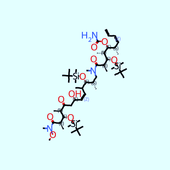 C=C/C=C\[C@H](C)[C@H](OC(N)=O)[C@@H](C)[C@H](O[Si](C)(C)C(C)(C)C)[C@@H](C)C(=O)N(C)C[C@H](C)[C@@H](O[Si](C)(C)C(C)(C)C)C(C)/C=C\[C@@H](O)CC(=O)[C@H](C)[C@H](O[Si](C)(C)C(C)(C)C)[C@@H](C)C(=O)N(C)OC